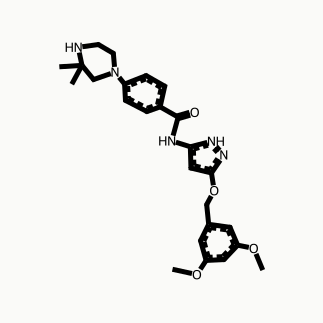 COc1cc(COc2cc(NC(=O)c3ccc(N4CCNC(C)(C)C4)cc3)[nH]n2)cc(OC)c1